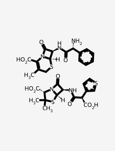 CC1(C)S[C@@H]2[C@H](NC(=O)[C@H](C(=O)O)c3ccsc3)C(=O)N2[C@H]1C(=O)O.CC1=C(C(=O)O)N2C(=O)[C@@H](NC(=O)[C@H](N)c3ccccc3)[C@H]2SC1